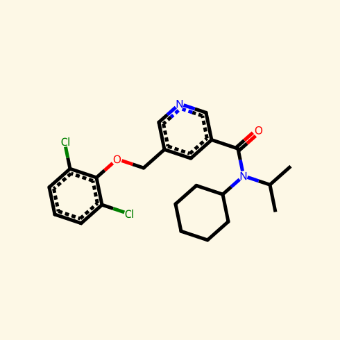 CC(C)N(C(=O)c1cncc(COc2c(Cl)cccc2Cl)c1)C1CCCCC1